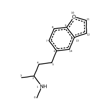 CNC(C)CCc1ccc2occc2c1